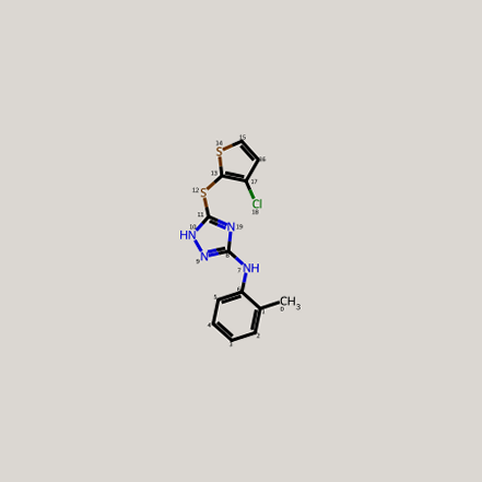 Cc1ccccc1Nc1n[nH]c(Sc2sccc2Cl)n1